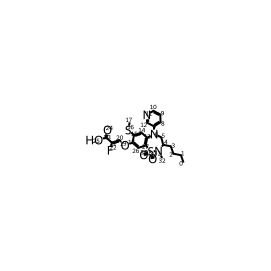 CCCCC1CN(c2cccnc2)c2cc(SC)c(O/C=C(\F)C(=O)O)cc2S(=O)(=O)N1C